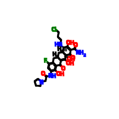 NC(=O)C1=C(O)[C@@H](NCCCCl)[C@@H]2C[C@@H]3Cc4c(F)cc(NC(=O)CN5CCCC5)c(O)c4C(=O)C3=C(O)[C@]2(O)C1=O